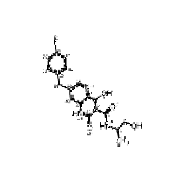 CC(CO)NC(=O)c1c(O)c2ncc(Cc3ccc(F)cc3)cc2[nH]c1=O